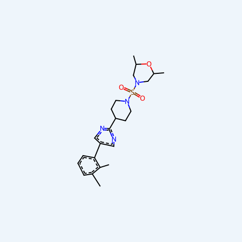 Cc1cccc(-c2cnc(C3CCN(S(=O)(=O)N4CC(C)OC(C)C4)CC3)nc2)c1C